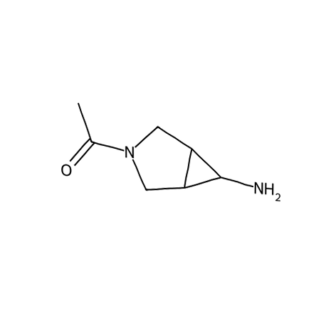 CC(=O)N1CC2C(N)C2C1